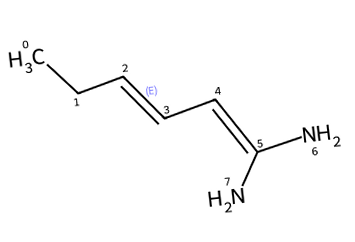 CC/C=C/C=C(N)N